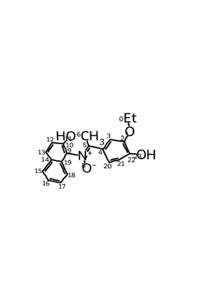 CCOc1cc(C(C)=[N+]([O-])c2c(O)ccc3ccccc23)ccc1O